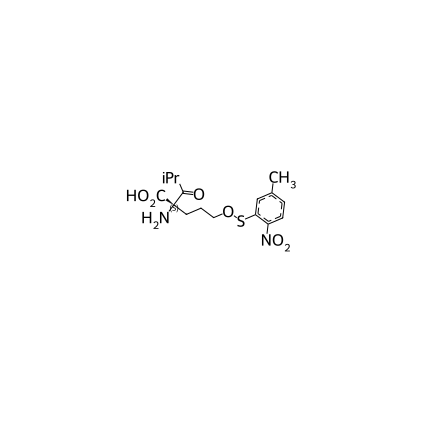 Cc1ccc([N+](=O)[O-])c(SOCCC[C@@](N)(C(=O)O)C(=O)C(C)C)c1